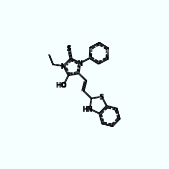 CCn1c(O)c(C=CC2Nc3ccccc3S2)n(-c2ccccc2)c1=S